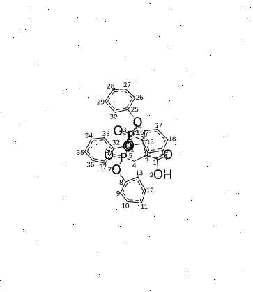 O=C(O)C(CP(=O)(Oc1ccccc1)Oc1ccccc1)CP(=O)(Oc1ccccc1)Oc1ccccc1